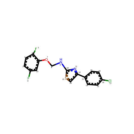 Fc1ccc(F)c(OCNc2nc(-c3ccc(Cl)cc3)cs2)c1